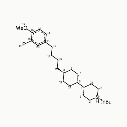 CCCC[Si@H]1CC[C@H]([C@H]2CC[C@H](CCCCc3ccc(OC)c(F)c3)CC2)CC1